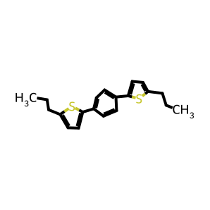 CCCc1ccc(-c2ccc(-c3ccc(CCC)s3)cc2)s1